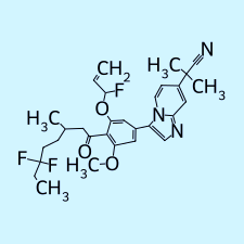 C=CC(F)Oc1cc(-c2cnc3cc(C(C)(C)C#N)ccn23)cc(OC)c1C(=O)CC(C)CCC(F)(F)CC